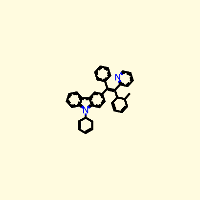 CC1C=CC=CC1/C(=C(/c1ccccc1)c1ccc2c(c1)c1ccccc1n2C1C=CC=CC1)c1ccccn1